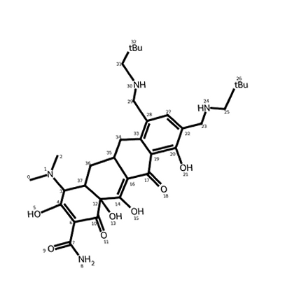 CN(C)C1C(O)=C(C(N)=O)C(=O)C2(O)C(O)=C3C(=O)c4c(O)c(CNCC(C)(C)C)cc(CNCC(C)(C)C)c4CC3CC12